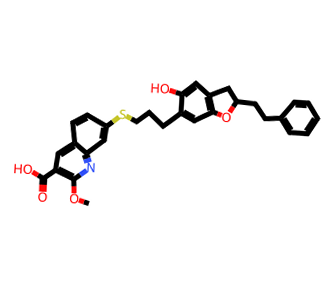 COc1nc2cc(SCCCc3cc4c(cc3O)CC(CCc3ccccc3)O4)ccc2cc1C(=O)O